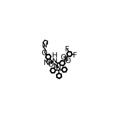 Nc1cc(OCCN2CCCC2)ccc1C(=O)Nc1nn(C(c2ccccc2)(c2ccccc2)c2ccccc2)c2ccc(S(=O)(=O)c3cc(F)cc(F)c3)cc12